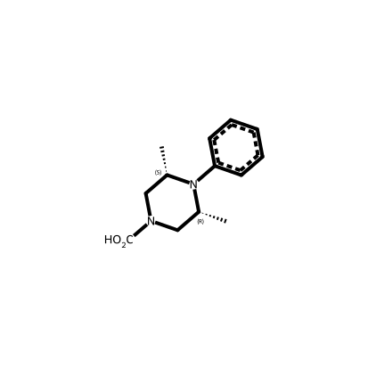 C[C@@H]1CN(C(=O)O)C[C@H](C)N1c1ccccc1